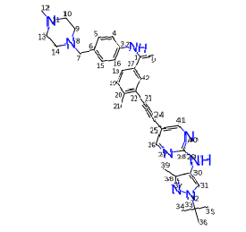 C=C(Nc1ccc(CN2CCN(C)CC2)cc1)c1ccc(C)c(C#Cc2cnc(Nc3cn(C(C)(C)C)nc3C)nc2)c1